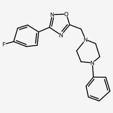 Fc1ccc(-c2noc(CN3CCN(c4ccccc4)CC3)n2)cc1